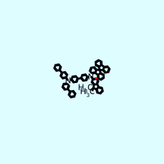 CC1(C)c2ccccc2-c2ccc(N(c3ccc(-c4ccc(N(c5ccc(-c6ccccc6)cc5)c5cccc(-c6ccccc6)c5)cc4)cc3)c3cccc4c3-c3ccccc3C43c4ccccc4-c4ccccc43)cc21